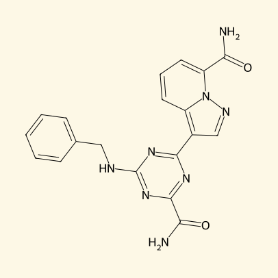 NC(=O)c1nc(NCc2ccccc2)nc(-c2cnn3c(C(N)=O)cccc23)n1